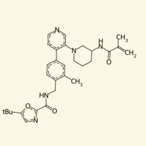 C=C(C)C(=O)NC1CCCN(c2cnccc2-c2ccc(CNC(=O)c3ncc(C(C)(C)C)o3)c(C)c2)C1